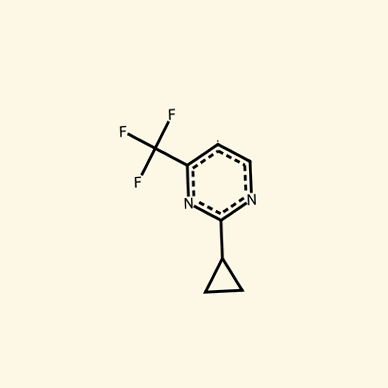 FC(F)(F)c1[c]cnc(C2CC2)n1